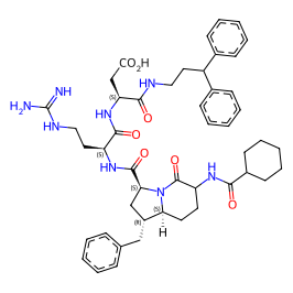 N=C(N)NCC[C@H](NC(=O)[C@@H]1C[C@@H](Cc2ccccc2)[C@@H]2CCC(NC(=O)C3CCCCC3)C(=O)N12)C(=O)N[C@@H](CC(=O)O)C(=O)NCCC(c1ccccc1)c1ccccc1